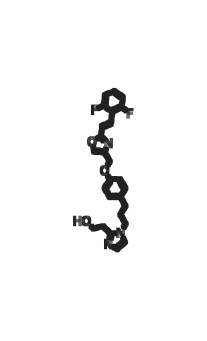 OCCc1nccn1CCCc1ccc(OCc2coc(C=Cc3c(F)cccc3F)n2)cc1